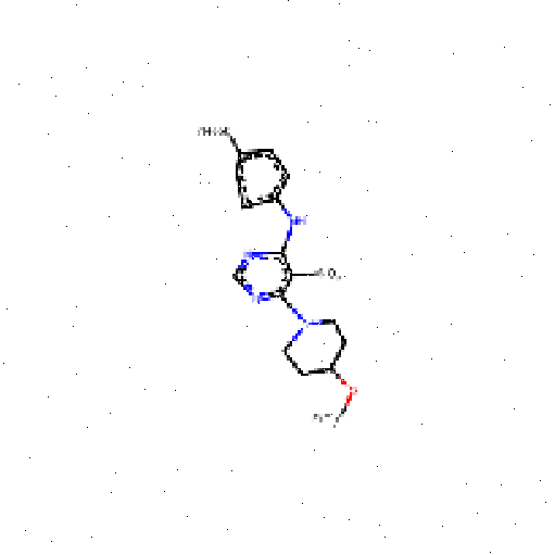 CCCCCCCc1ccc(Nc2ncnc(N3CCC(OC(=O)OCC)CC3)c2[N+](=O)[O-])cc1